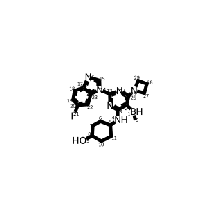 CBc1c(NC2CCC(O)CC2)nc(-n2cnc3ccc(F)cc32)nc1N1CCC1